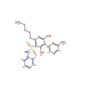 CCCCCc1cc(O)c(-c2cccc(C)c2)c(O)c1S(=O)(=O)Nc1ncccn1